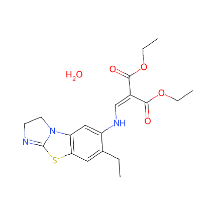 CCOC(=O)C(=CNc1cc2c(cc1CC)SC1=NCCN12)C(=O)OCC.O